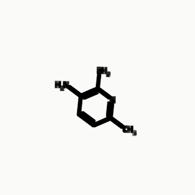 Bc1nc(C)ccc1N